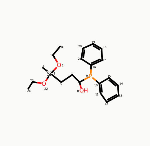 CCO[Si](C)(CCC(O)P(c1ccccc1)c1ccccc1)OCC